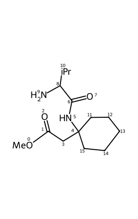 COC(=O)CC1(NC(=O)C(N)C(C)C)CCCCC1